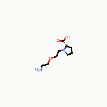 NCCOCCN1CCC[C@H]1C(=O)O